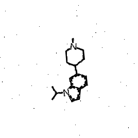 CC(C)n1ccc2ccc(C3CCN(C)CC3)cc21